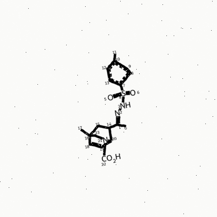 CC(=NNS(=O)(=O)c1ccc(C)cc1)C1CC2(C)C=CC1N(C(=O)O)C2